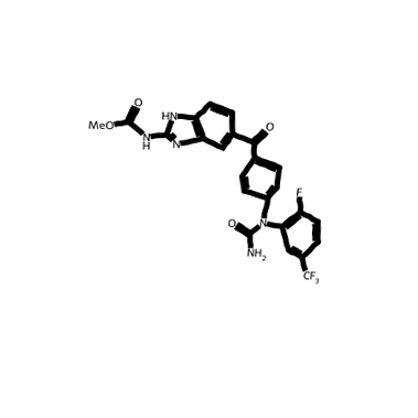 COC(=O)Nc1nc2cc(C(=O)c3ccc(N(C(N)=O)c4cc(C(F)(F)F)ccc4F)cc3)ccc2[nH]1